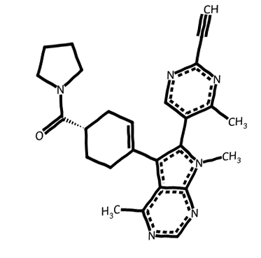 C#Cc1ncc(-c2c(C3=CC[C@@H](C(=O)N4CCCC4)CC3)c3c(C)ncnc3n2C)c(C)n1